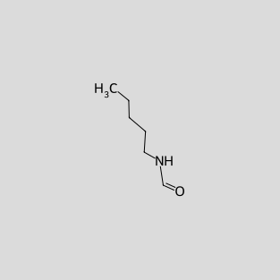 CCCCCNC=O